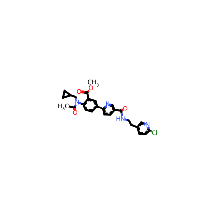 COC(=O)c1cc(-c2ccc(C(=O)NCCc3ccc(Cl)nc3)cn2)ccc1N(CC1CC1)C(C)=O